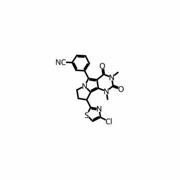 Cn1c(=O)c2c(-c3cccc(C#N)c3)n3c(c2n(C)c1=O)C(c1nc(Cl)cs1)CC3